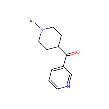 CC(=O)N1CCC(C(=O)c2cccnc2)CC1